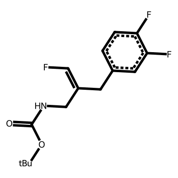 CC(C)(C)OC(=O)NCC(=CF)Cc1ccc(F)c(F)c1